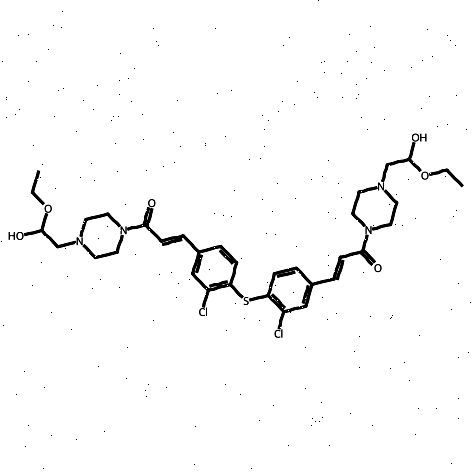 CCOC(O)CN1CCN(C(=O)/C=C/c2ccc(Sc3ccc(/C=C/C(=O)N4CCN(CC(O)OCC)CC4)cc3Cl)c(Cl)c2)CC1